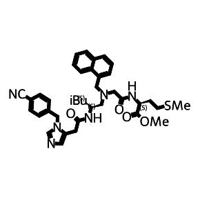 CC[C@H](C)[C@@H](CN(CC(=O)N[C@@H](CCSC)C(=O)OC)Cc1cccc2ccccc12)NC(=O)Cc1cncn1Cc1ccc(C#N)cc1